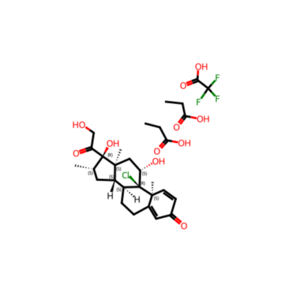 CCC(=O)O.CCC(=O)O.C[C@H]1C[C@H]2[C@@H]3CCC4=CC(=O)C=C[C@]4(C)[C@@]3(Cl)[C@@H](O)C[C@]2(C)[C@@]1(O)C(=O)CO.O=C(O)C(F)(F)F